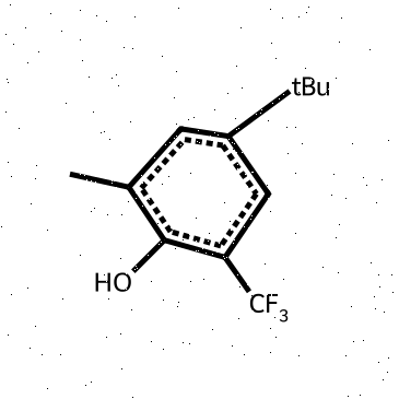 Cc1cc(C(C)(C)C)cc(C(F)(F)F)c1O